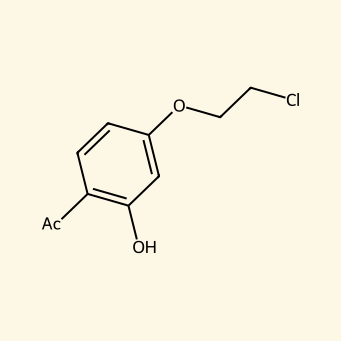 CC(=O)c1ccc(OCCCl)cc1O